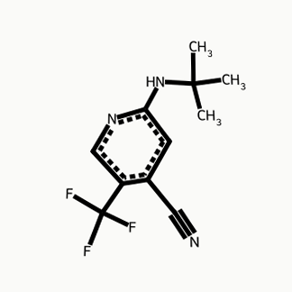 CC(C)(C)Nc1cc(C#N)c(C(F)(F)F)cn1